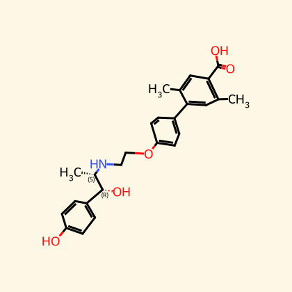 Cc1cc(-c2ccc(OCCN[C@@H](C)[C@H](O)c3ccc(O)cc3)cc2)c(C)cc1C(=O)O